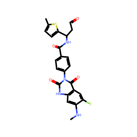 CNc1cc2[nH]c(=O)n(-c3ccc(C(=O)NC(CC=O)c4ccc(C)s4)cc3)c(=O)c2cc1F